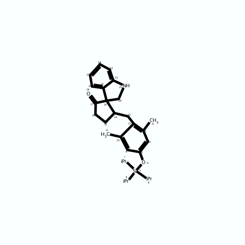 Cc1cc(O[Si](C(C)C)(C(C)C)C(C)C)cc(C)c1CC1CCC(=O)C12CNc1ccccc12